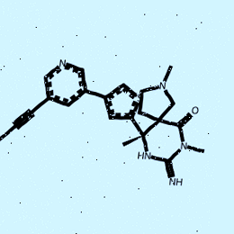 CC#Cc1cncc(-c2csc([C@@]3(C)NC(=N)N(C)C(=O)C34CCN(C)C4)c2)c1